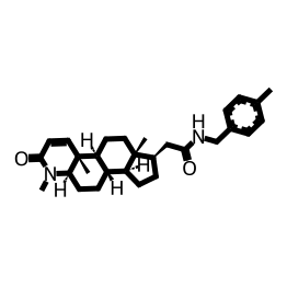 Cc1ccc(CNC(=O)C[C@H]2CC[C@H]3[C@@H]4CC[C@H]5N(C)C(=O)C=C[C@]5(C)[C@H]4CC[C@]23C)cc1